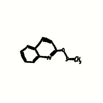 CSOc1ccc2ccccc2n1